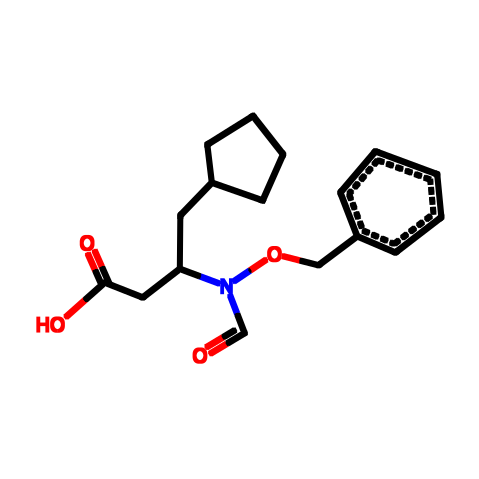 O=CN(OCc1ccccc1)C(CC(=O)O)CC1CCCC1